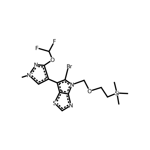 Cn1cc(-c2c(Br)n(COCC[Si](C)(C)C)c3ncsc23)c(OC(F)F)n1